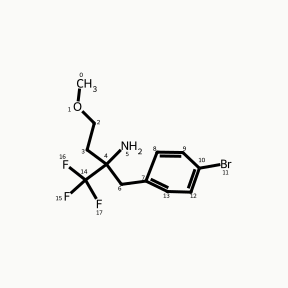 COCCC(N)(Cc1ccc(Br)cc1)C(F)(F)F